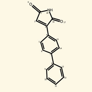 O=C1C=C(c2ccc(-c3ccccc3)cc2)C(=O)N1